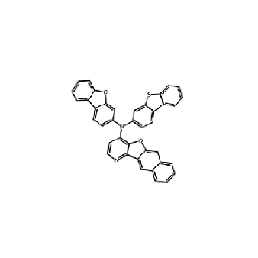 c1ccc2cc3c(cc2c1)oc1c(N(c2ccc4c(c2)oc2ccccc24)c2ccc4c(c2)sc2ccccc24)ccnc13